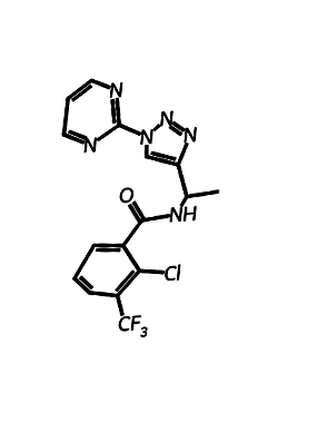 CC(NC(=O)c1cccc(C(F)(F)F)c1Cl)c1cn(-c2ncccn2)nn1